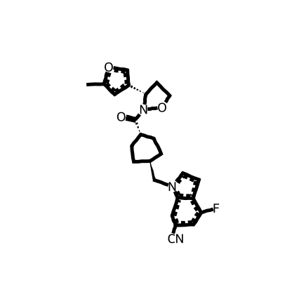 Cc1cc([C@@H]2CCON2C(=O)[C@H]2CC[C@H](Cn3ccc4c(F)cc(C#N)cc43)CC2)co1